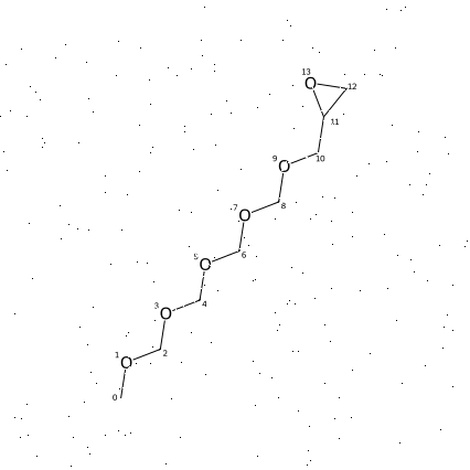 COCOCOCOCOCC1CO1